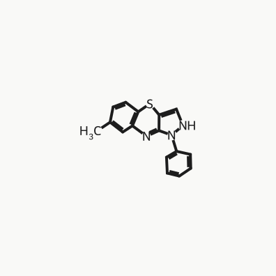 Cc1ccc2c(c1)N=C1C(=CNN1c1ccccc1)S2